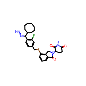 N=NC(c1ccc(CSc2cccc3c2CN(C2CCC(=O)NC2=O)C3=O)cc1F)C1CCCCCCC1